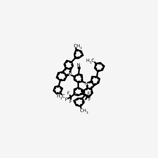 Cc1cccc(-c2ccc3c4ccc(-c5cccc(C)c5)cc4n(-c4cc(-c5cc(C(F)(F)F)cc(C(F)(F)F)c5)c(-n5c6cc(-c7cccc(C)c7)ccc6c6ccc(-c7cccc(C)c7)cc65)cc4C#N)c3c2)c1